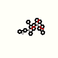 c1ccc(-c2ccccc2N(c2cc(-c3ccccc3)c3cc(-c4ccccc4)c(N(c4ccc5c(c4)oc4ccccc45)c4ccccc4-c4ccccc4)cc3c2)c2ccc3c(c2)oc2ccccc23)cc1